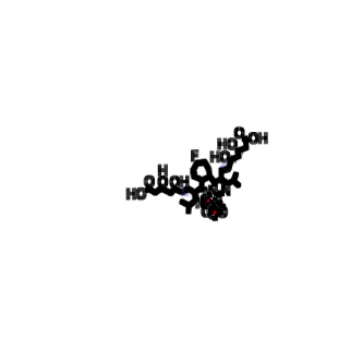 CC(C)c1nc(N(C)S(C)(=O)=O)nc(C2C=CC(F)=CCC2c2nc(N(C)S(C)(=O)=O)nc(C(C)C)c2/C=C/[C@@H](O)C[C@@H](O)CC(=O)O)c1/C=C/[C@@H](O)C[C@@H](O)CC(=O)O